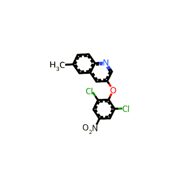 Cc1ccc2ncc(Oc3c(Cl)cc([N+](=O)[O-])cc3Cl)cc2c1